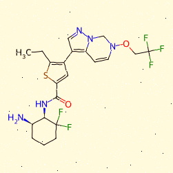 CCc1sc(C(=O)N[C@@H]2[C@H](N)CCCC2(F)F)cc1-c1cnn2c1C=CN(OCC(F)(F)F)C2